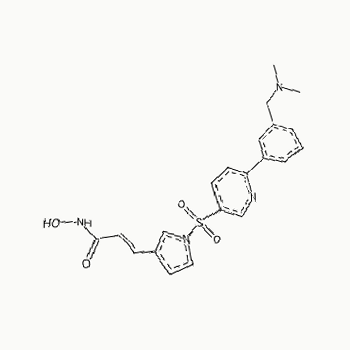 CN(C)Cc1cccc(-c2ccc(S(=O)(=O)n3ccc(C=CC(=O)NO)c3)cn2)c1